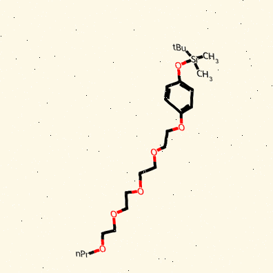 CCCOCCOCCOCCOCCOc1ccc(O[Si](C)(C)C(C)(C)C)cc1